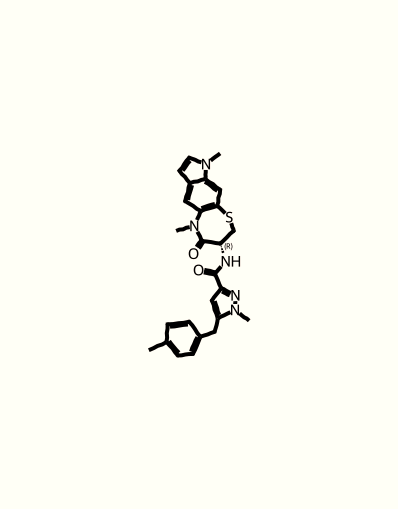 Cc1ccc(Cc2cc(C(=O)N[C@H]3CSc4cc5c(ccn5C)cc4N(C)C3=O)nn2C)cc1